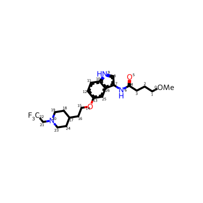 COCCCC(=O)Nc1c[nH]c2ccc(OCCC3CCN(CC(F)(F)F)CC3)cc12